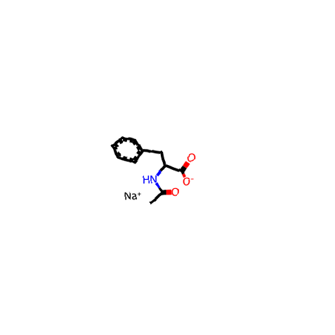 CC(=O)NC(Cc1ccccc1)C(=O)[O-].[Na+]